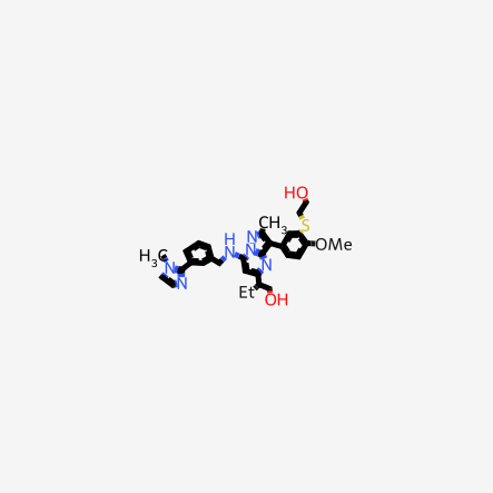 CCC(CO)c1cc(NCc2cccc(-c3nccn3C)c2)n2nc(C)c(-c3ccc(OC)c(SCCO)c3)c2n1